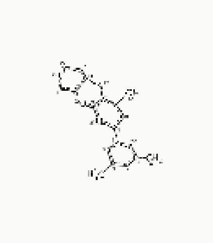 Cc1cc(C)cc(-c2cc(O)c(Sc3ccccc3)c(=O)o2)c1